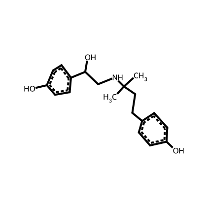 CC(C)(CCc1ccc(O)cc1)NCC(O)c1ccc(O)cc1